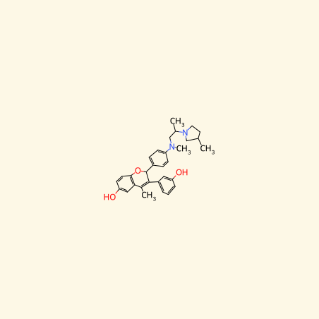 CC1=C(c2cccc(O)c2)C(c2ccc(N(C)CC(C)N3CCC(C)C3)cc2)Oc2ccc(O)cc21